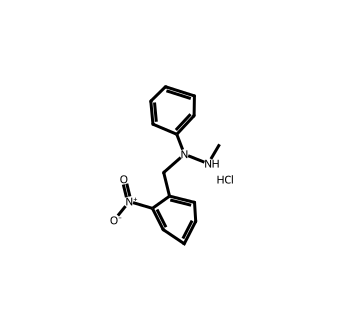 CNN(Cc1ccccc1[N+](=O)[O-])c1ccccc1.Cl